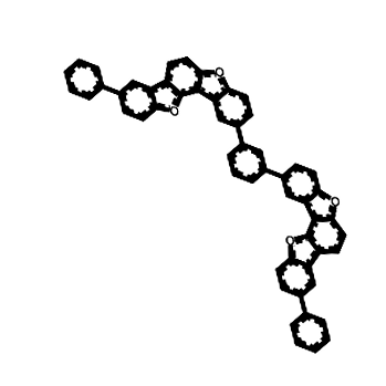 c1ccc(-c2ccc3oc4c(ccc5oc6ccc(-c7cccc(-c8ccc9oc%10ccc%11c%12cc(-c%13ccccc%13)ccc%12oc%11c%10c9c8)c7)cc6c54)c3c2)cc1